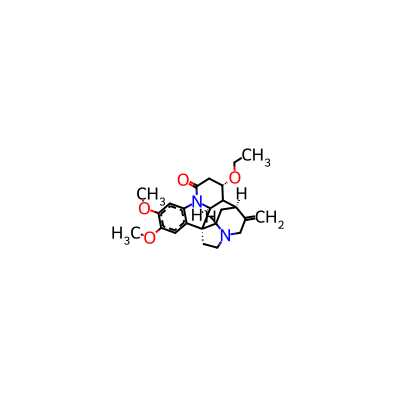 C=C1CN2CC[C@@]34c5cc(OC)c(OC)cc5N5C(=O)C[C@H](OCC)C([C@@H]1C[C@H]23)[C@H]54